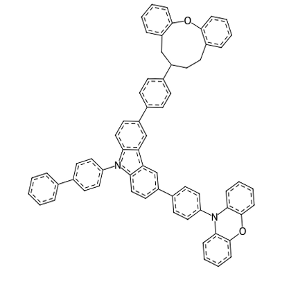 c1ccc(-c2ccc(-n3c4ccc(-c5ccc(C6CCc7ccccc7Oc7ccccc7C6)cc5)cc4c4cc(-c5ccc(N6c7ccccc7Oc7ccccc76)cc5)ccc43)cc2)cc1